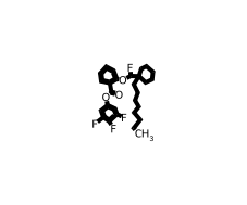 CCCCCCCCC1(C(F)Oc2ccccc2C(=O)Oc2cc(F)c(F)c(F)c2)CCCCC1